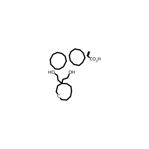 C1CCCCCCCCC1.C1CCCCCCCCC1.C=CC(=O)O.OCCC1(CCO)CCCCCCCCC1